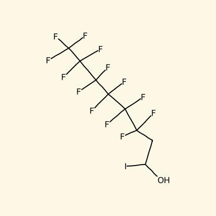 OC(I)CC(F)(F)C(F)(F)C(F)(F)C(F)(F)C(F)(F)C(F)(F)F